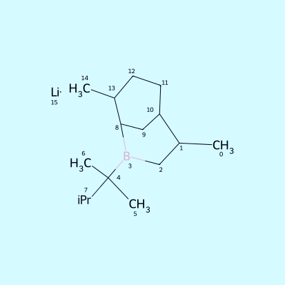 CC1CB(C(C)(C)C(C)C)C2CC1CCC2C.[Li]